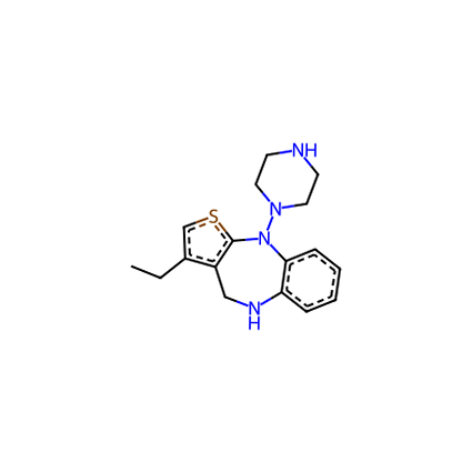 CCc1csc2c1CNc1ccccc1N2N1CCNCC1